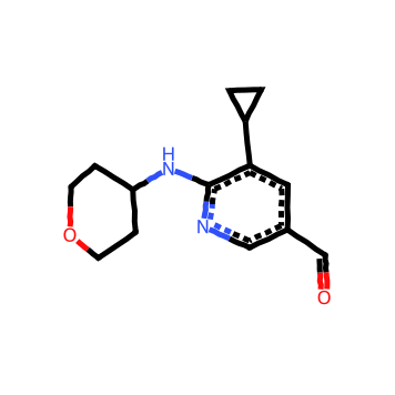 O=Cc1cnc(NC2CCOCC2)c(C2CC2)c1